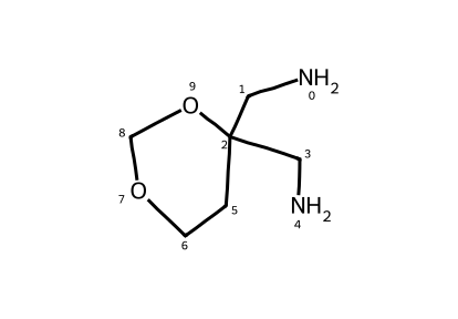 NCC1(CN)CCOCO1